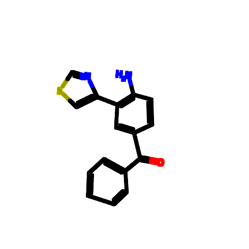 Nc1ccc(C(=O)c2ccccc2)cc1-c1cscn1